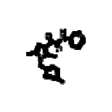 Cc1ccc(Cn2c(C)cc(C(=O)C(=O)Nc3cccnc3)c2C)cc1